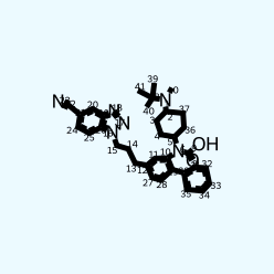 CN(C1CCC(N(C(=O)O)c2cc(CCCn3nnc4cc(C#N)ccc43)ccc2-c2ccccc2)CC1)C(C)(C)C